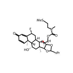 CCCC1O[C@@H]2CC3[C@@H]4C[C@H](F)C5=CC(=O)C=C[C@]5(C)[C@@]4(F)[C@@H](O)C[C@]3(C)[C@]2(C(=O)COC(=O)N(C)CCSC)O1